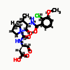 COc1cccc(C(=O)N[C@H](C(=O)[N+]2(C(=O)N[C@H](C=O)CC(=O)O)CCCC2)C(C)C)c1Cl